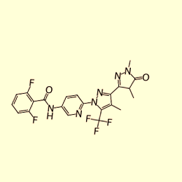 Cc1c(C2=NN(C)C(=O)C2C)nn(-c2ccc(NC(=O)c3c(F)cccc3F)cn2)c1C(F)(F)F